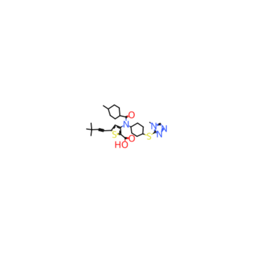 CC1CCC(C(=O)N(c2cc(C#CC(C)(C)C)sc2C(=O)O)C2CCC(Sc3nncn3C)CC2)CC1